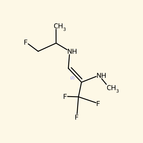 CN/C(=C\NC(C)CF)C(F)(F)F